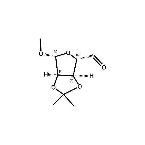 CO[C@@H]1O[C@H](C=O)[C@H]2OC(C)(C)O[C@@H]12